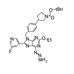 CCOc1nc(N=NN)c2nc(-c3cncc(F)c3)n(Cc3ccc(C4CCN(C(=O)OC(C)(C)C)C4)cc3)c2n1